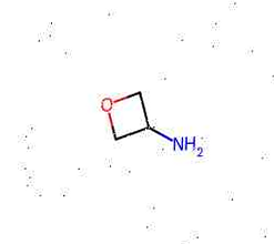 N[C]1COC1